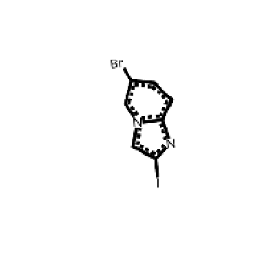 Brc1ccc2nc(I)cn2c1